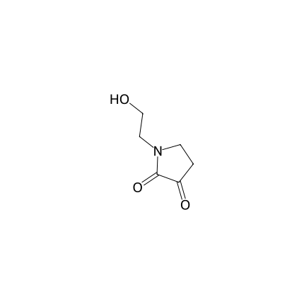 O=C1CCN(CCO)C1=O